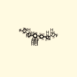 Cl.Cl.Cl.Cl.F[C@H]1CN[C@H](c2ncc(-c3ccc(-c4ccc(-c5cnc([C@@H]6C[C@@H](F)CN6)[nH]5)cc4)cc3)[nH]2)C1